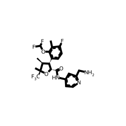 Cc1c(F)ccc([C@@H]2[C@H](C(=O)Nc3ccnc(CN)c3)O[C@@](C)(C(F)(F)F)[C@H]2C)c1OC(F)F